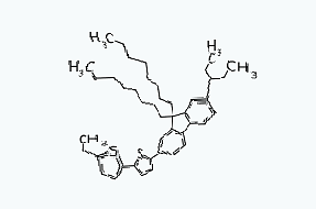 CCCCCCCCC1(CCCCCCCC)c2cc(-c3ccc(-c4ccc(CC)s4)s3)ccc2-c2ccc(C(CC)CC)cc21